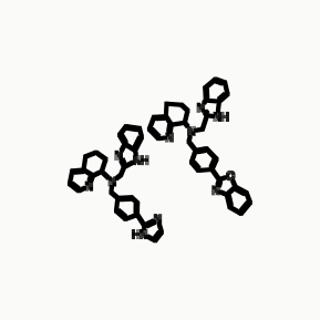 c1cnc2c(c1)CCCC2N(Cc1ccc(-c2nc3ccccc3o2)cc1)Cc1nc2ccccc2[nH]1.c1cnc2c(c1)CCCC2N(Cc1ccc(-c2ncc[nH]2)cc1)Cc1nc2ccccc2[nH]1